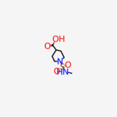 CNS(=O)(=O)N1CCC(C(=O)O)CC1